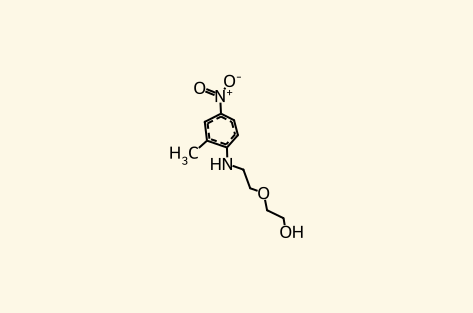 Cc1cc([N+](=O)[O-])ccc1NCCOCCO